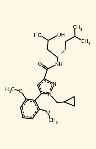 COc1cccc(OC)c1-c1cc(C(=O)N[C@@H](CCC(C)C)CC(O)O)nn1CC1CC1